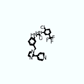 O=C(Nc1cccc(Cn2ccnc2-c2ccncc2)c1)Nc1cc(C(F)(F)F)ccc1Cl